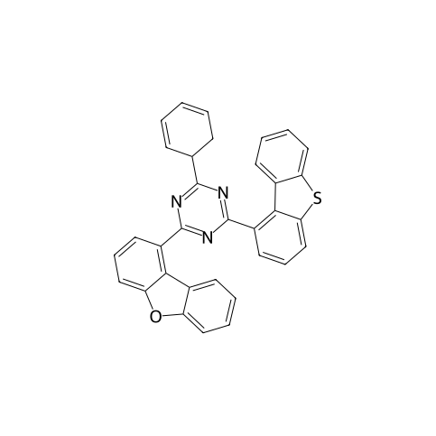 C1=CCC(c2nc(-c3cccc4oc5ccccc5c34)nc(-c3cccc4sc5ccccc5c34)n2)C=C1